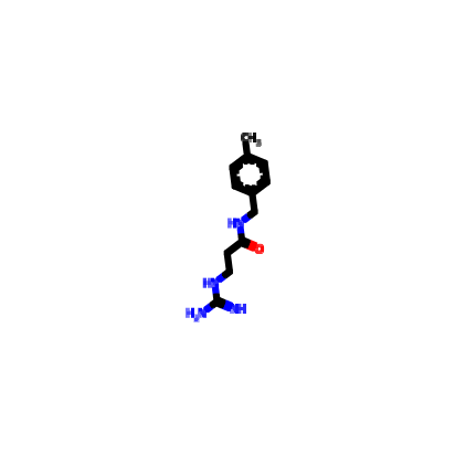 Cc1ccc(CNC(=O)CCNC(=N)N)cc1